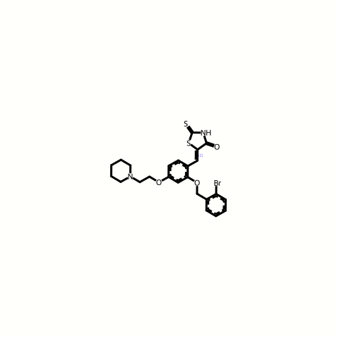 O=C1NC(=S)S/C1=C\c1ccc(OCCN2CCCCC2)cc1OCc1ccccc1Br